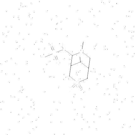 CC1C2CN(C)C(NS(C)(=O)=O)C1CS(=O)(=O)C2